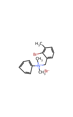 Cc1cccc(C[N+](C)(C)c2ccccc2)c1Br.[Br-]